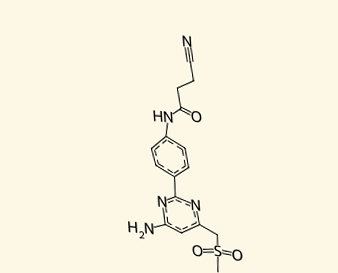 CS(=O)(=O)Cc1cc(N)nc(-c2ccc(NC(=O)CCC#N)cc2)n1